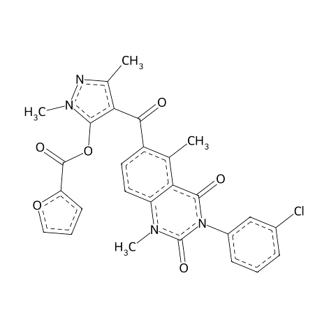 Cc1nn(C)c(OC(=O)c2ccco2)c1C(=O)c1ccc2c(c1C)c(=O)n(-c1cccc(Cl)c1)c(=O)n2C